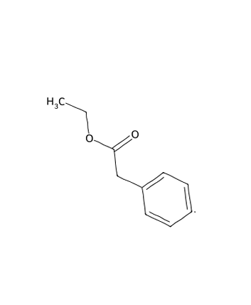 CCOC(=O)Cc1cc[c]cc1